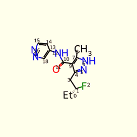 CC[C@@H](F)Cc1n[nH]c(C)c1C(=O)Nc1ccnnc1